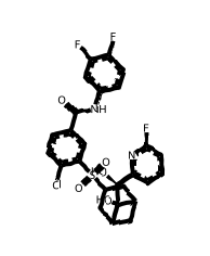 O=C(Nc1ccc(F)c(F)c1)c1ccc(Cl)c(S(=O)(=O)C2CC3CC(C2)C3(O)[C@@H](O)c2cccc(F)n2)c1